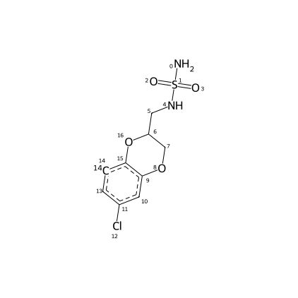 NS(=O)(=O)NCC1COc2cc(Cl)c[14cH]c2O1